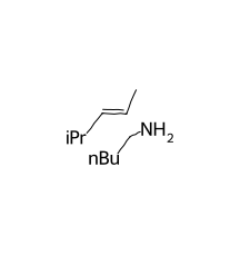 CC=CC(C)C.CCCCCN